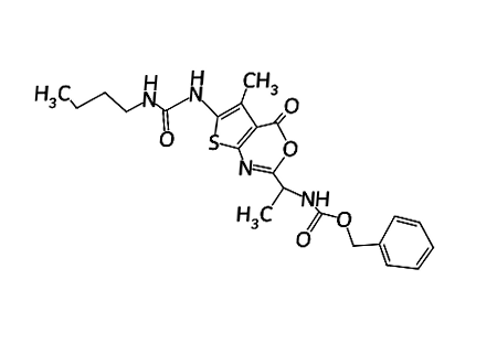 CCCCNC(=O)Nc1sc2nc(C(C)NC(=O)OCc3ccccc3)oc(=O)c2c1C